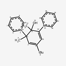 CC(C)(C)C1=CC(C)([n+]2ccccc2)C(C)(O)C([n+]2ccccc2)=C1